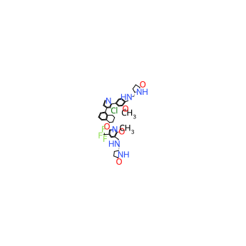 COc1cc(-c2nccc(-c3cccc4c3CCC[C@@H]4Oc3nc(OC)c(CNC[C@H]4CCC(=O)N4)cc3C(F)(F)F)c2Cl)ccc1CNC[C@@H]1CCC(=O)N1